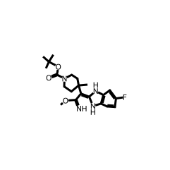 COC(=N)/C(=C1\Nc2ccc(F)cc2N1)C1(C)CCN(C(=O)OC(C)(C)C)CC1